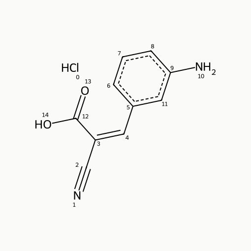 Cl.N#CC(=Cc1cccc(N)c1)C(=O)O